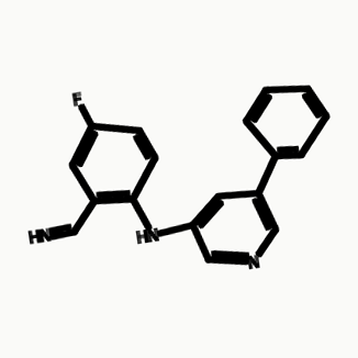 N=Cc1cc(F)ccc1Nc1cncc(-c2ccccc2)c1